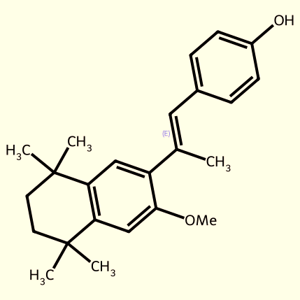 COc1cc2c(cc1/C(C)=C/c1ccc(O)cc1)C(C)(C)CCC2(C)C